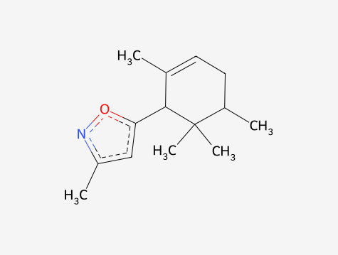 CC1=CCC(C)C(C)(C)C1c1cc(C)no1